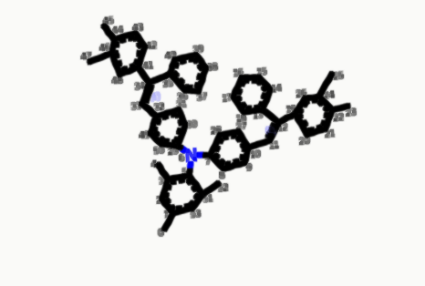 Cc1cc(C)c(N(c2ccc(/C=C(\c3ccccc3)c3ccc(C)c(C)c3)cc2)c2ccc(/C=C(\c3ccccc3)c3ccc(C)c(C)c3)cc2)c(C)c1